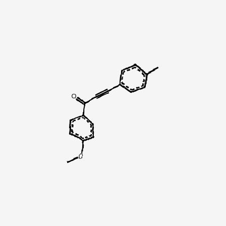 COc1ccc(C(=O)C#Cc2ccc(C)cc2)cc1